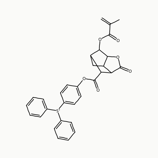 C=C(C)C(=O)OC1C2CC3C1OC(=O)C3C2C(=O)Oc1ccc([S+](c2ccccc2)c2ccccc2)cc1